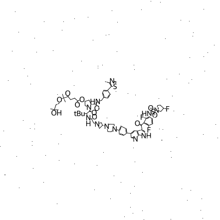 Cc1ncsc1-c1ccc(CNC(=O)[C@@H]2C[C@@H](OC(=O)CCC(=O)C(C)(C)OCCC(C)(C)O)CN2C(=O)[C@@H](NC(=O)CN2CC(N3CCN(c4ccc(-c5cnc6[nH]cc(C(=O)c7c(F)ccc(NS(=O)(=O)N8CC[C@@H](F)C8)c7F)c6c5)cc4)CC3)C2)C(C)(C)C)cc1